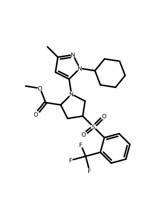 COC(=O)C1CC(S(=O)(=O)c2ccccc2C(F)(F)F)CN1c1cc(C)nn1C1CCCCC1